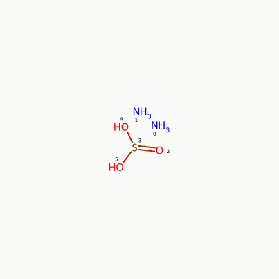 N.N.O=S(O)O